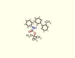 Cc1ccccc1-c1cccc(-c2ccccc2NC(=O)OC(C)(C)C)c1